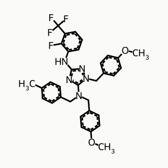 COc1ccc(CN(Cc2ccc(C)cc2)c2nc(Nc3cccc(C(F)(F)F)c3F)nn2Cc2ccc(OC)cc2)cc1